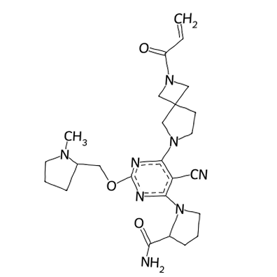 C=CC(=O)N1CC2(CCN(c3nc(OCC4CCCN4C)nc(N4CCCC4C(N)=O)c3C#N)C2)C1